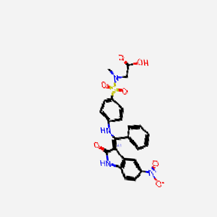 CN(CC(=O)O)S(=O)(=O)c1ccc(N/C(=C2\C(=O)Nc3ccc([N+](=O)[O-])cc32)c2ccccc2)cc1